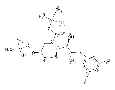 CC(C)(C)CO[C@H]1CN(C(=O)OC(C)(C)C)[C@@H]([C@@H](O)[C@@H](N)Cc2cc(F)cc(Cl)c2)CO1